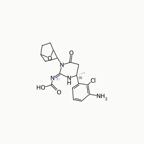 C[C@@]1(c2cccc(N)c2Cl)CC(=O)N(C2CC3CCC2O3)/C(=N/C(=O)O)N1